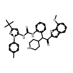 COc1cccc2cc(C(=O)C(c3ccccc3NC(=O)Nc3cc(C(C)(C)C)nn3-c3ccc(C)cc3)C3CCNCC3)oc12